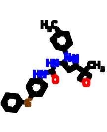 Cc1ccc(-n2nc(C3(C)COC3)cc2NC(=O)Nc2ccc(Sc3ccccc3)cc2)cc1